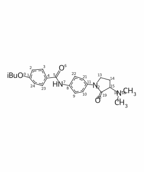 CC(C)COc1ccc(C(=O)Nc2ccc(N3CCC(N(C)C)C3=O)cc2)cc1